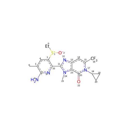 CC[S+]([O-])c1cc(C)c(N)nc1-c1nc2cc(C(F)(F)F)n(C3CC3)c(=O)c2n1C